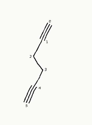 C#CCCC#C